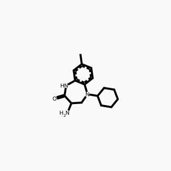 Cc1ccc2c(c1)NC(=O)C(N)CN2C1CCCCC1